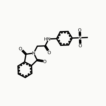 CS(=O)(=O)c1ccc(NC(=O)CN2C(=O)c3ccccc3C2=O)cc1